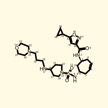 O=C(N[C@H]1CC=CC[C@H](NS(=O)(=O)N2CCC(NCCCN3CCOCC3)CC2)C1)c1cc(C2CC2)on1